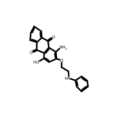 Nc1c(OCCNc2ccccc2)cc(O)c2c1C(=O)c1ccccc1C2=O